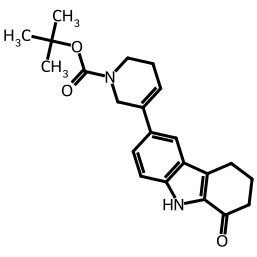 CC(C)(C)OC(=O)N1CCC=C(c2ccc3[nH]c4c(c3c2)CCCC4=O)C1